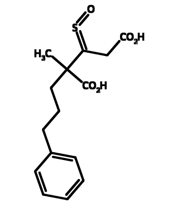 CC(CCCc1ccccc1)(C(=O)O)C(CC(=O)O)=S=O